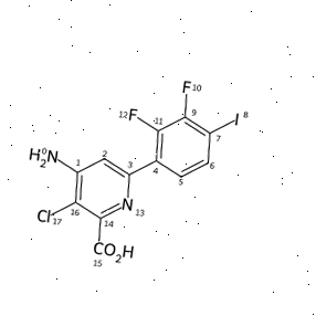 Nc1cc(-c2ccc(I)c(F)c2F)nc(C(=O)O)c1Cl